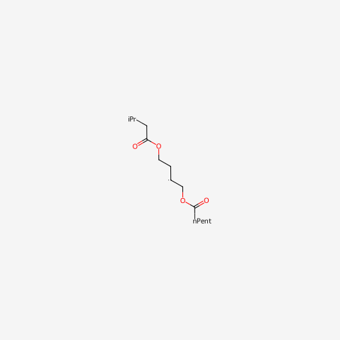 CCCCCC(=O)OC[CH]CCOC(=O)CC(C)C